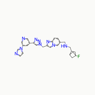 FC12CC(CNCc3ccc4nc(Cn5cc(-c6cncc(-n7ccnc7)c6)nn5)cn4c3)C(C1)C2